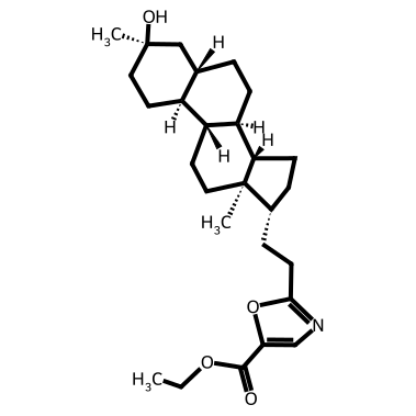 CCOC(=O)c1cnc(CC[C@H]2CC[C@H]3[C@@H]4CC[C@H]5C[C@](C)(O)CC[C@@H]5[C@H]4CC[C@]23C)o1